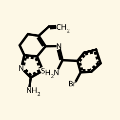 C=CC1=C(/N=C(\N)c2ccccc2Br)c2sc(N)nc2CC1